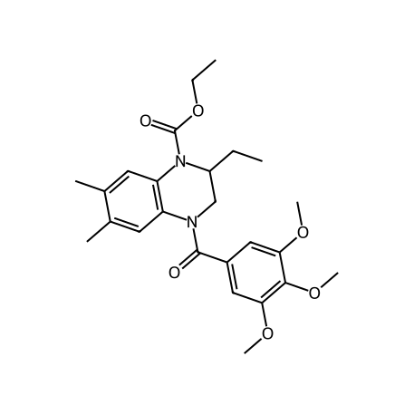 CCOC(=O)N1c2cc(C)c(C)cc2N(C(=O)c2cc(OC)c(OC)c(OC)c2)CC1CC